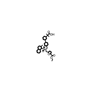 CCOC(=O)c1ccc(CN(Cc2ccc(-c3cccc(C(C)(C)C(=O)O)c3)cc2)S(=O)(=O)c2c(C)ccc3ccccc23)o1